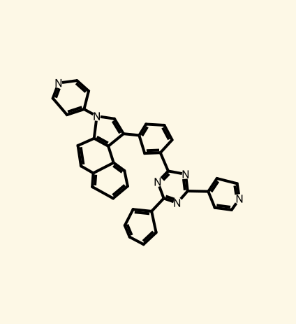 c1ccc(-c2nc(-c3ccncc3)nc(-c3cccc(-c4cn(-c5ccncc5)c5ccc6ccccc6c45)c3)n2)cc1